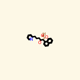 O=C(CCCc1ccccn1)C(c1cccc2ccccc12)[SH](=O)=O